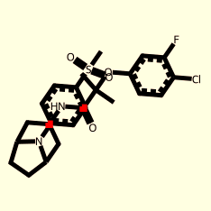 CC(C)(Oc1ccc(Cl)c(F)c1)C(=O)NC1CC2CCC(C1)N2c1ccc(S(C)(=O)=O)cc1